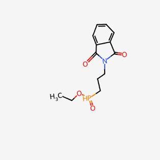 CCO[PH](=O)CCCN1C(=O)c2ccccc2C1=O